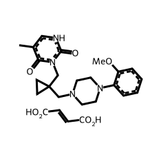 COc1ccccc1N1CCN(CC2(Cn3c(=O)[nH]cc(C)c3=O)CC2)CC1.O=C(O)C=CC(=O)O